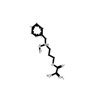 C=C(C)C(=O)OCCC[SiH](Cc1ccccc1)OCC